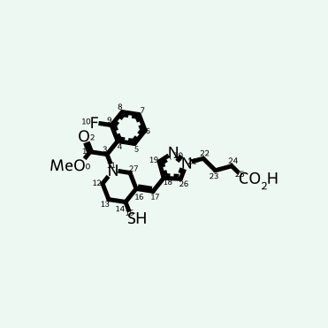 COC(=O)C(c1ccccc1F)N1CCC(S)C(=Cc2cnn(CCCC(=O)O)c2)C1